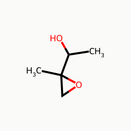 CC(O)C1(C)CO1